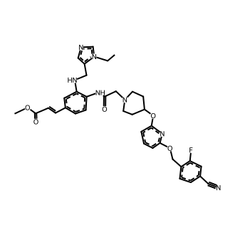 CCn1cncc1CNc1cc(/C=C/C(=O)OC)ccc1NC(=O)CN1CCC(Oc2cccc(OCc3ccc(C#N)cc3F)n2)CC1